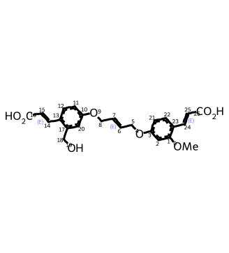 COc1cc(OC/C=C/COc2ccc(/C=C/C(=O)O)c(CO)c2)ccc1/C=C/C(=O)O